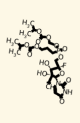 C#C[C@]1(O)[C@H](n2ccc(=O)[nH]c2=O)O[C@](F)(COP(=O)(CCCOC(=O)OC(C)C)OCOC(=O)OC(C)C)[C@H]1O